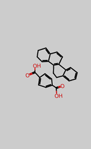 C1=c2ccc3c(c2=CCC1)CCc1ccccc1-3.O=C(O)c1ccc(C(=O)O)cc1